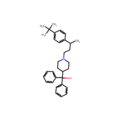 CC(CCN1CCC(C(O)(c2ccccc2)c2ccccc2)CC1)c1ccc(C(C)(C)C)cc1